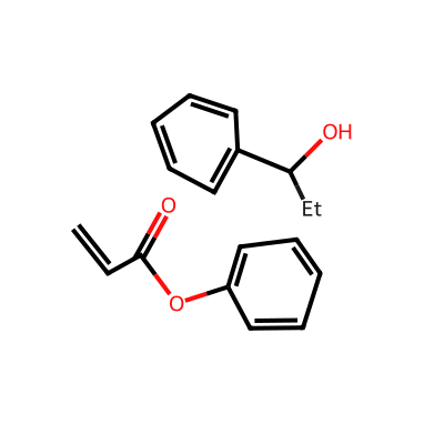 C=CC(=O)Oc1ccccc1.CCC(O)c1ccccc1